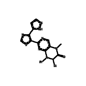 CCC1C(=O)N(C)c2cnc(-c3scnc3-c3ccn[nH]3)nc2N1C(C)C